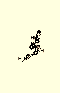 NC1CCN(CCc2ccc(Nc3nccc(-c4c(-c5cccc(NC(=O)Cc6cccs6)c5)nc5ccccn45)n3)cc2)CC1